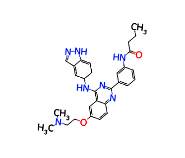 CCCC(=O)Nc1cccc(-c2nc(NC3C=c4cn[nH]c4=CC3)c3cc(OCCN(C)C)ccc3n2)c1